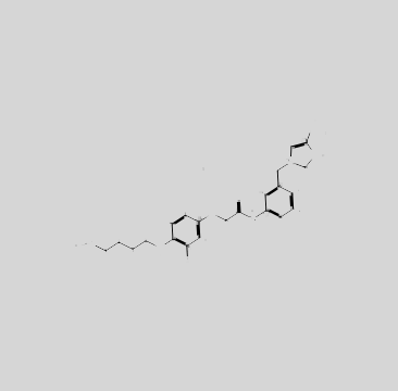 Br.CCCCCCCCCCCCCCOc1ccc(OCC(=O)Nc2cccc(CN3C=C(C)SC3)c2)cc1C(C)=O